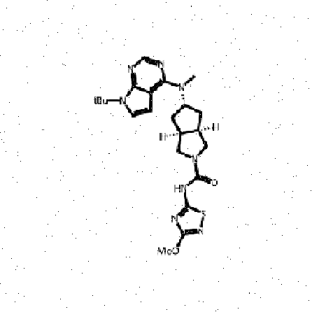 COc1nsc(NC(=O)N2C[C@H]3C[C@H](N(C)c4ncnc5c4ccn5C(C)(C)C)C[C@H]3C2)n1